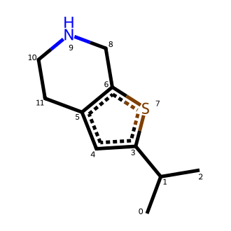 CC(C)c1cc2c(s1)CNCC2